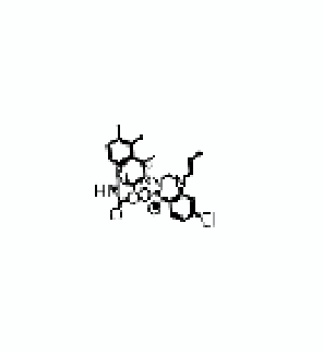 CCCN1CN([C@H](c2n[nH]c(=O)o2)[C@H](C)c2c(F)ccc(C)c2C)S(=O)(=O)c2ccc(Cl)cc21